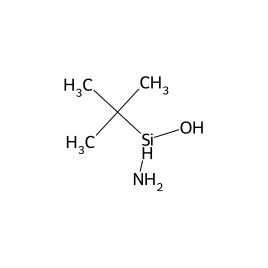 CC(C)(C)[SiH](N)O